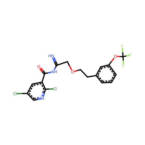 N=C(COCCc1cccc(OC(F)(F)F)c1)NC(=O)c1cc(Cl)cnc1Cl